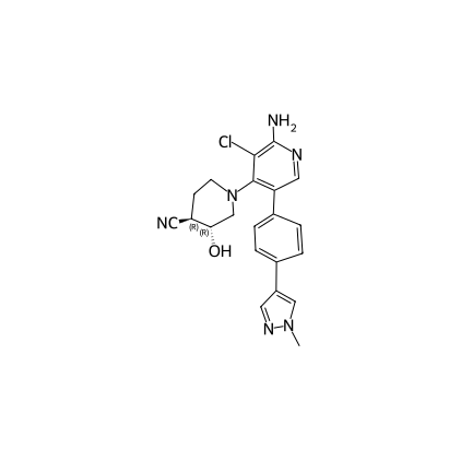 Cn1cc(-c2ccc(-c3cnc(N)c(Cl)c3N3CC[C@H](C#N)[C@@H](O)C3)cc2)cn1